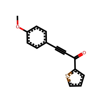 COc1ccc(C#CC(=O)c2cccs2)cc1